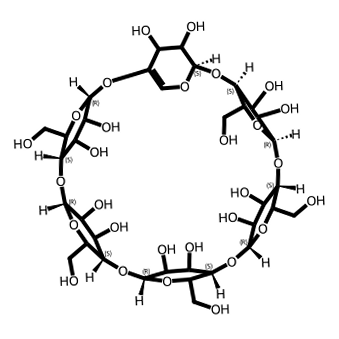 OCC1O[C@@H]2O[C@@H]3C(CO)O[C@H](O[C@@H]4C(CO)O[C@H](O[C@@H]5C(CO)O[C@H](O[C@@H]6C(CO)O[C@H](OC7=CO[C@H](O[C@H]1C(O)C2O)C(O)C7O)C(O)C6O)C(O)C5O)C(O)C4O)C(O)C3O